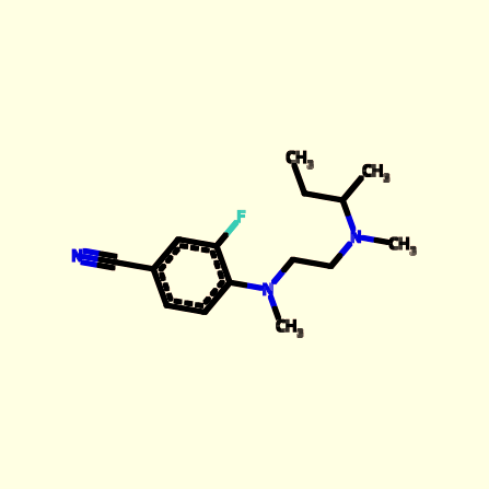 CCC(C)N(C)CCN(C)c1ccc(C#N)cc1F